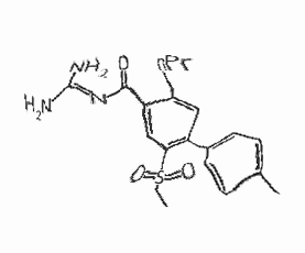 CCCc1cc(-c2ccc(C)cc2)c(S(C)(=O)=O)cc1C(=O)N=C(N)N